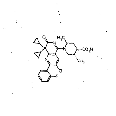 C[C@@H]1CN(C2=NC(=O)C(C3CC3)(C3CC3)c3nc(-c4ccccc4F)c(Cl)cc32)[C@@H](C)CN1C(=O)O